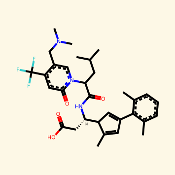 CC1=CC(c2c(C)cccc2C)=CC1[C@H](CC(=O)O)NC(=O)C(CC(C)C)n1cc(CN(C)C)c(C(F)(F)F)cc1=O